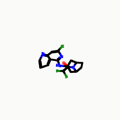 O=C(C(F)F)N1C2CCC1CC(Nc1nc(Cl)cc3ncccc13)C2